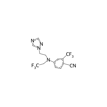 N#Cc1ccc(N(CCn2cncn2)CC(F)(F)F)cc1C(F)(F)F